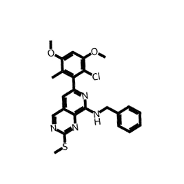 COc1cc(OC)c(Cl)c(-c2cc3cnc(SC)nc3c(NCc3ccccc3)n2)c1C